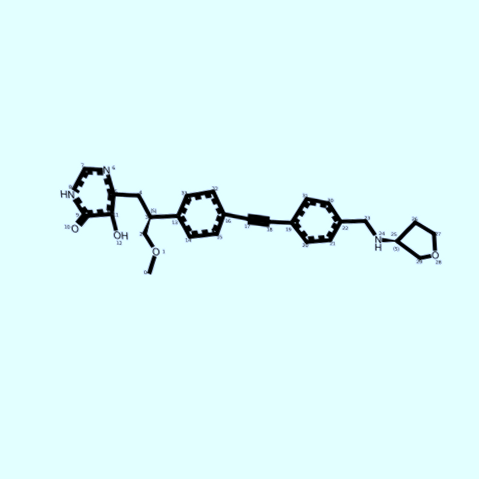 COC[C@@H](Cc1nc[nH]c(=O)c1O)c1ccc(C#Cc2ccc(CN[C@H]3CCOC3)cc2)cc1